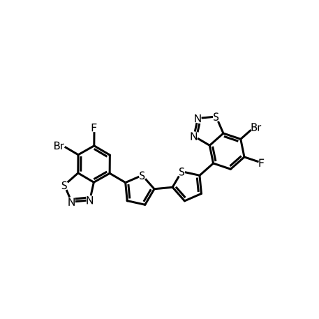 Fc1cc(-c2ccc(-c3ccc(-c4cc(F)c(Br)c5snnc45)s3)s2)c2nnsc2c1Br